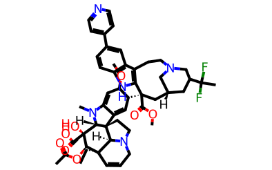 CC[C@]12C=CCN3CC[C@@]4(C5=CC([C@@]6(C(=O)OC)C[C@H]7CC(C(C)(F)F)CN(CCc8c6[nH]c6ccc(-c9ccncc9)cc86)C7)C(OC)C=C5N(C)[C@H]4[C@@](O)(C(=O)O)[C@@H]1OC(C)=O)[C@@H]32